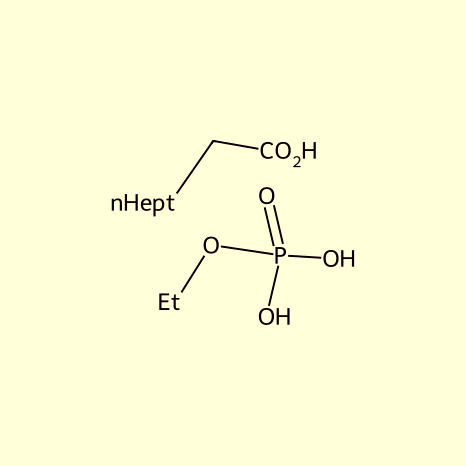 CCCCCCCCC(=O)O.CCOP(=O)(O)O